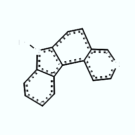 Cn1c2ccccc2c2c3ccncc3ccc21